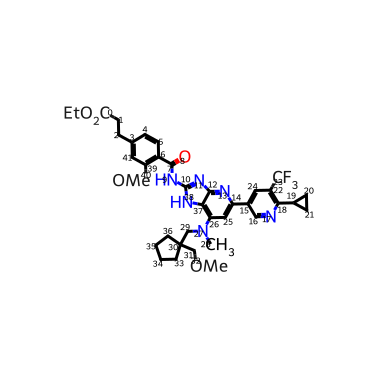 CCOC(=O)CCc1ccc(C(=O)Nc2nc3nc(-c4cnc(C5CC5)c(C(F)(F)F)c4)cc(N(C)CC4(COC)CCCC4)c3[nH]2)c(OC)c1